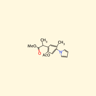 COC(=O)C(C)c1cc(C)c(-n2cccc2)cc1OC(C)=O